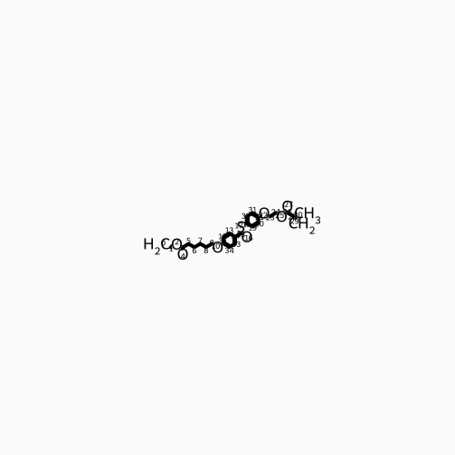 C=COC(=O)CCCCCOc1ccc(C(=O)Sc2ccc(OCCOC(=O)C(=C)C)cc2)cc1